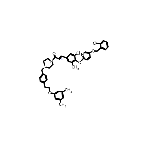 Cc1cc(C)cc(OCCc2ccc(CN3CCN(C(=O)/C=C/c4cc(C)c(Oc5ccc(OCc6ccccc6Cl)cn5)c(Cl)c4)CC3)cc2)c1